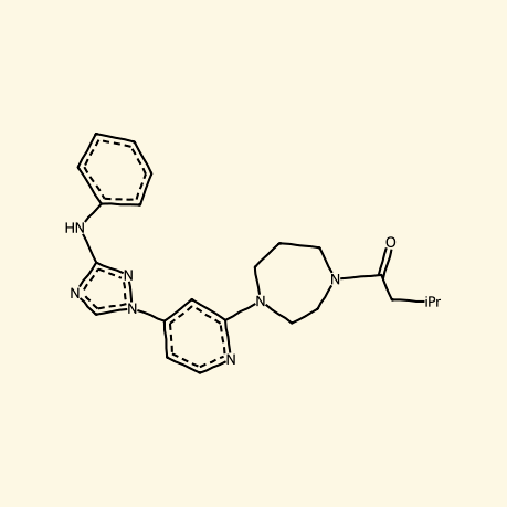 CC(C)CC(=O)N1CCCN(c2cc(-n3cnc(Nc4ccccc4)n3)ccn2)CC1